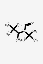 CC(N(C=O)C(C)(C)C)C(C)(C)C